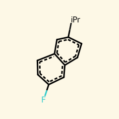 CC(C)c1ccc2cc(F)ccc2c1